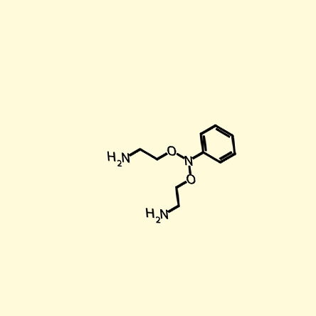 NCCON(OCCN)c1ccccc1